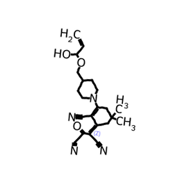 C=CC(O)OCC1CCN(C2=C(C#N)/C(=C(/C#N)C(=O)C#N)CC(C)(C)C2)CC1